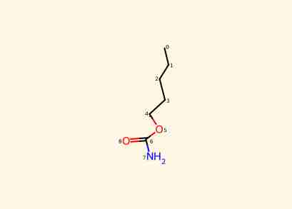 CCCC[CH]OC(N)=O